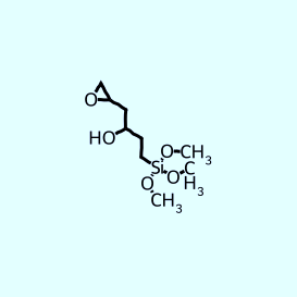 CO[Si](CCC(O)CC1CO1)(OC)OC